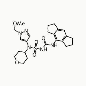 COCn1cc(N(C2CCOCC2)S(=O)(=O)NC(=O)Nc2c3c(cc4c2CCC4)CCC3)cn1